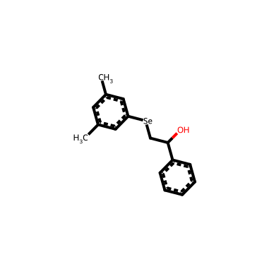 Cc1cc(C)cc([Se]CC(O)c2ccccc2)c1